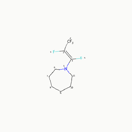 F/C(=C(/F)C(F)(F)F)N1CCCCCC1